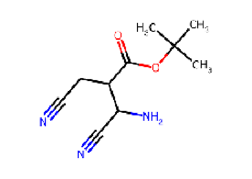 CC(C)(C)OC(=O)C(CC#N)C(N)C#N